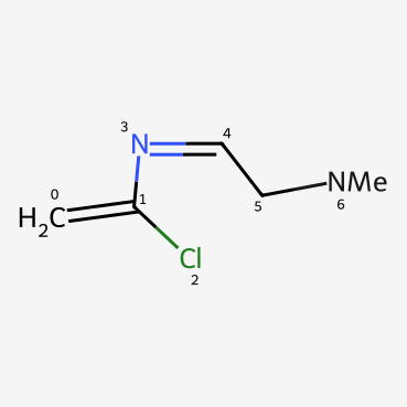 C=C(Cl)/N=C\CNC